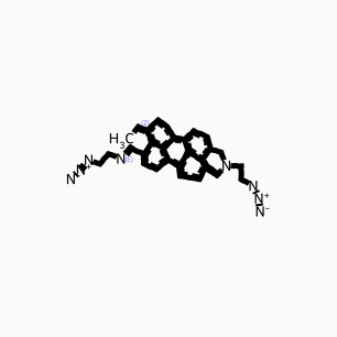 C/C=c1/ccc2c3ccc4c5c(ccc(c6ccc(/C=N/CCN=[N+]=[N-])c1c62)c53)=CN(CCN=[N+]=[N-])C4